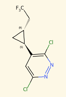 FC(F)(F)C[C@H]1C[C@@H]1c1cc(Cl)nnc1Cl